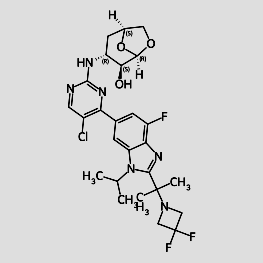 CC(C)n1c(C(C)(C)N2CC(F)(F)C2)nc2c(F)cc(-c3nc(N[C@@H]4C[C@H]5CO[C@H](O5)[C@H]4O)ncc3Cl)cc21